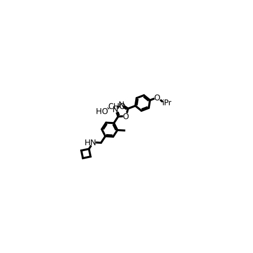 Cc1cc(CNC2CCC2)ccc1-c1nnc(-c2ccc(OC(C)C)cc2)o1.O=CO